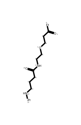 CCC(=O)CCOCCNC(=O)CCCNC(C)C